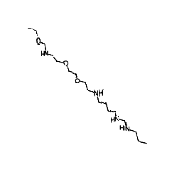 CCCNCNCCCCNCCOCCOCCNCOCC